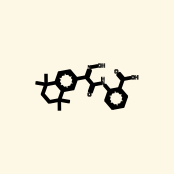 CC1(C)CCC(C)(C)c2cc(C(=NO)C(=O)Nc3ccccc3C(=O)O)ccc21